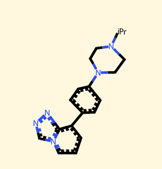 CC(C)N1CCN(c2ccc(-c3cccn4cnnc34)cc2)CC1